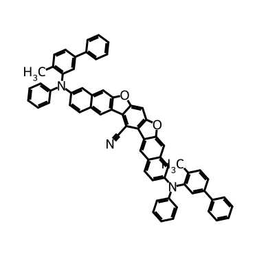 Cc1ccc(-c2ccccc2)cc1N(c1ccccc1)c1ccc2cc3c(cc2c1)oc1cc2oc4cc5cc(N(c6ccccc6)c6cc(-c7ccccc7)ccc6C)ccc5cc4c2c(C#N)c13